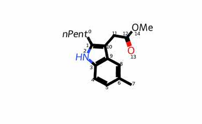 CCCCCc1[nH]c2ccc(C)cc2c1CC(=O)OC